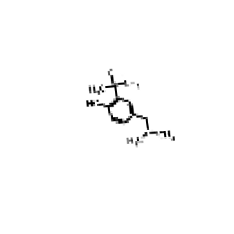 CN(C)Cc1ccc(O)c(C(C)(C)C)c1